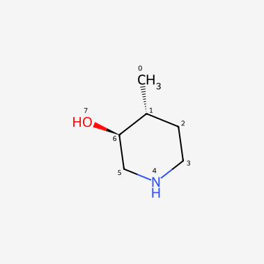 C[C@@H]1CCNC[C@H]1O